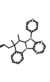 C=CCC1(C)c2ccccc2N2c3nccnc3N(c3ccncc3)C2C1C